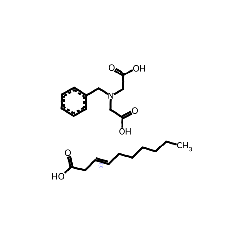 CCCCCC/C=C/CC(=O)O.O=C(O)CN(CC(=O)O)Cc1ccccc1